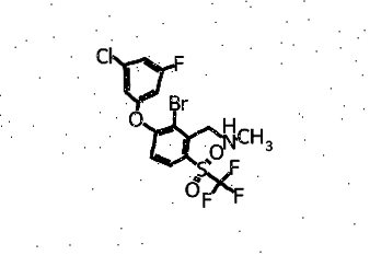 CNCc1c(S(=O)(=O)C(F)(F)F)ccc(Oc2cc(F)cc(Cl)c2)c1Br